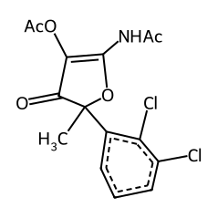 CC(=O)NC1=C(OC(C)=O)C(=O)C(C)(c2cccc(Cl)c2Cl)O1